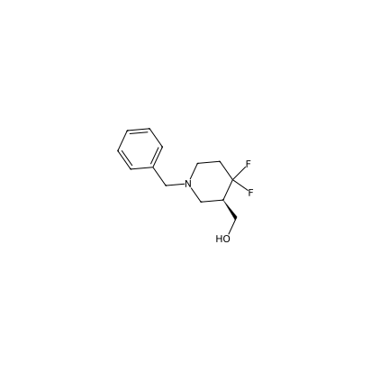 OC[C@H]1CN(Cc2ccccc2)CCC1(F)F